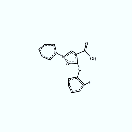 O=C(O)c1cn(-c2ccccc2)nc1Oc1ccccc1F